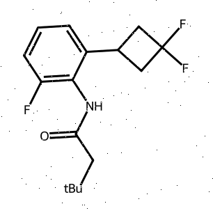 CC(C)(C)CC(=O)Nc1c(F)cccc1C1CC(F)(F)C1